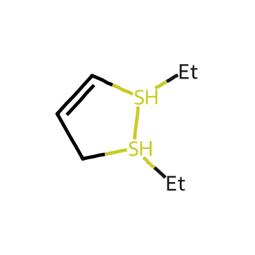 CC[SH]1C=CC[SH]1CC